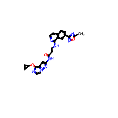 Cc1nc(-c2ccc3ccnc(NCCC(=O)Nc4cc5c(OC6CC6)nccn5n4)c3c2)no1